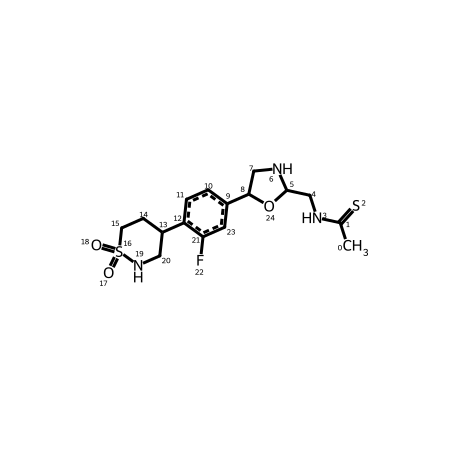 CC(=S)NCC1NCC(c2ccc(C3CCS(=O)(=O)NC3)c(F)c2)O1